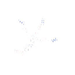 [N-]=[N+]=NCCOCCOCCOc1cc(C(=O)NCc2ccc(C(=O)CO)cc2)cc(OCCOCCOCCN=[N+]=[N-])c1OCCOCCOCCN=[N+]=[N-]